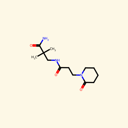 CC(C)(CNC(=O)CCN1CCCCC1=O)C(N)=O